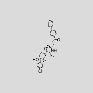 CC(C)[C@@H](NC(=O)CCC(=O)c1ccc(-c2ccccc2)cc1)C(=O)N1CC[C@](O)(c2ccc(Cl)cc2)C(C)(C)C1